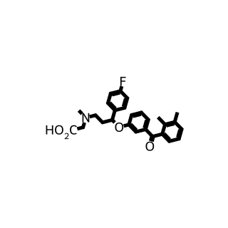 Cc1cccc(C(=O)c2cccc(OC(CCN(C)CC(=O)O)c3ccc(F)cc3)c2)c1C